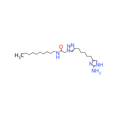 CCCCCCCCCCNC(=O)Cn1cc(CCCCCc2c[nH]c(N)n2)nn1